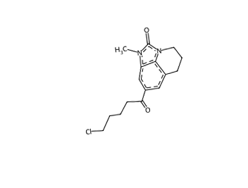 Cn1c(=O)n2c3c(cc(C(=O)CCCCCl)cc31)CCC2